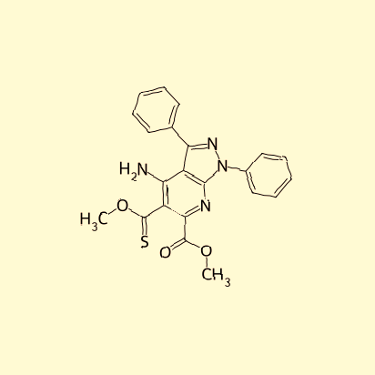 COC(=O)c1nc2c(c(-c3ccccc3)nn2-c2ccccc2)c(N)c1C(=S)OC